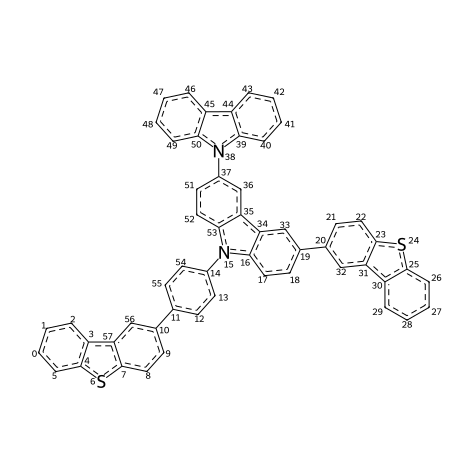 c1ccc2c(c1)sc1ccc(-c3ccc(-n4c5ccc(-c6ccc7sc8ccccc8c7c6)cc5c5cc(-n6c7ccccc7c7ccccc76)ccc54)cc3)cc12